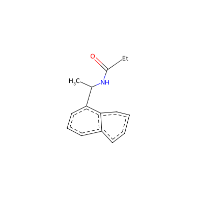 CCC(=O)NC(C)c1cccc2ccccc12